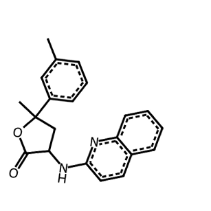 Cc1cccc(C2(C)CC(Nc3ccc4ccccc4n3)C(=O)O2)c1